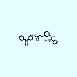 N=C(Nc1cccc(CCC(=O)Nc2ccc(Nc3ccccc3)cc2)c1)c1cccs1